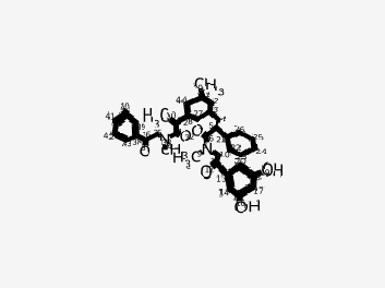 CC1CC(C[C@H](C(=O)N(C)CC(=O)c2cc(O)cc(O)c2)C2CCCCC2)CC(C(C)C(=O)N(C)CC(=O)c2ccccc2)C1